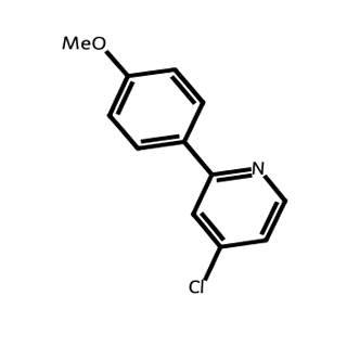 COc1ccc(-c2cc(Cl)ccn2)cc1